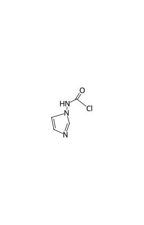 O=C(Cl)Nn1ccnc1